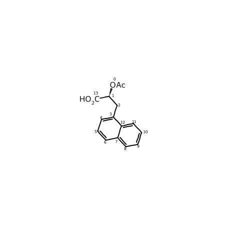 CC(=O)O[C@@H](Cc1cccc2ccccc12)C(=O)O